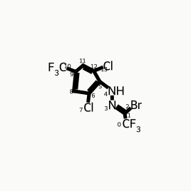 FC(F)(F)C(Br)=NNc1c(Cl)cc(C(F)(F)F)cc1Cl